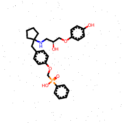 O=P(O)(COc1ccc(CC2(NC[C@H](O)COc3ccc(O)cc3)CCCC2)cc1)c1ccccc1